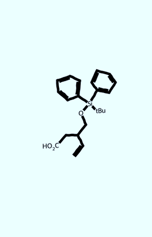 C=CC(CO[Si](c1ccccc1)(c1ccccc1)C(C)(C)C)CC(=O)O